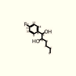 CCCCC(O)C(O)c1ccc(F)cc1